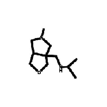 CC(C)NCC12COCC1CN(C)C2